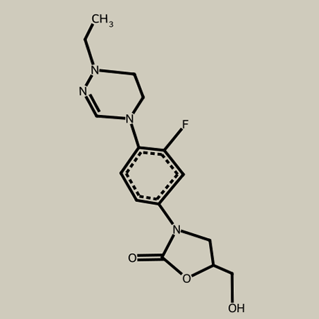 CCN1CCN(c2ccc(N3CC(CO)OC3=O)cc2F)C=N1